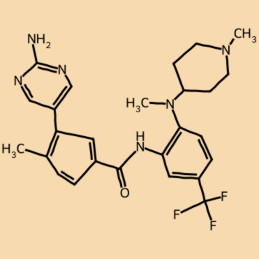 Cc1ccc(C(=O)Nc2cc(C(F)(F)F)ccc2N(C)C2CCN(C)CC2)cc1-c1cnc(N)nc1